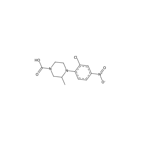 CC1CN(C(=O)O)CCN1c1ccc([N+](=O)[O-])cc1Cl